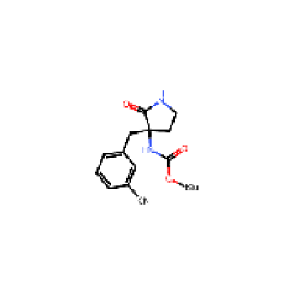 CC(C)(C)OC(=O)N[C@@]1(Cc2cccc(C#N)c2)CCNC1=O